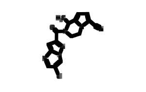 CC1c2ccc(C#N)n2CCN1C(=O)c1cc2ncc(Cl)cn2n1